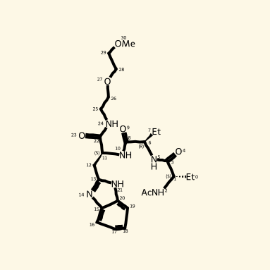 CC[C@H](NC(C)=O)C(=O)N[C@H](CC)C(=O)N[C@@H](Cc1nc2ccccc2[nH]1)C(=O)NCCOCCOC